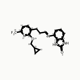 O=c1[nH]c2cccc(N=CCCc3ccc(C(F)(F)F)nc3OCC3CC3)c2[nH]1